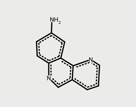 Nc1ccc2ncc3cccnc3c2c1